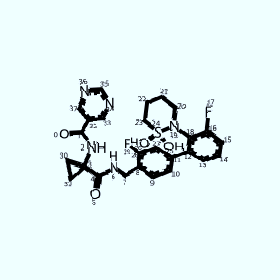 O=C(NC1(C(=O)NCc2ccc(-c3cccc(F)c3N3CCCCS3(O)O)cc2F)CC1)c1cncnc1